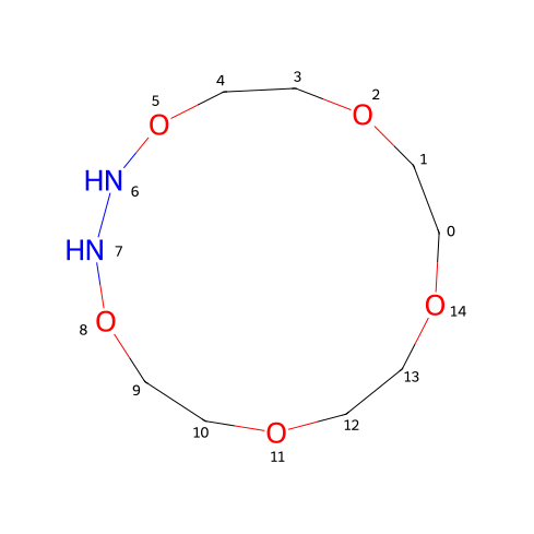 C1COCCONNOCCOCCO1